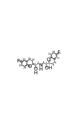 O[C@H](CNC[C@@H](O)[C@@H]1CCc2cc(F)ccc2O1)[C@@H]1CCc2cc(F)ccc2O1